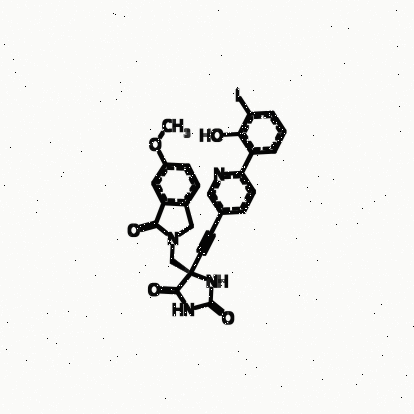 COc1ccc2c(c1)C(=O)N(C[C@@]1(C#Cc3ccc(-c4cccc(I)c4O)nc3)NC(=O)NC1=O)C2